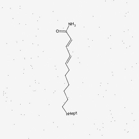 CCCCCCCCCCCCCC=CC=CC(N)=O